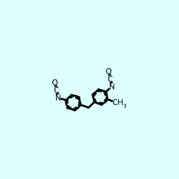 Cc1cc(Cc2ccc(N=C=O)cc2)ccc1N=C=O